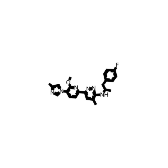 COc1nc(-c2cc(C)c(NC(C)Cc3ccc(F)cc3)nn2)ccc1-n1cnc(C)c1